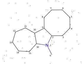 CN1C2CCCCCCC2C2CCCCCC21